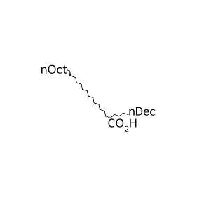 CCCCCCCCC=CCCCCCCCCCCCCC(CCCCCCCCCCCCCC)C(=O)O